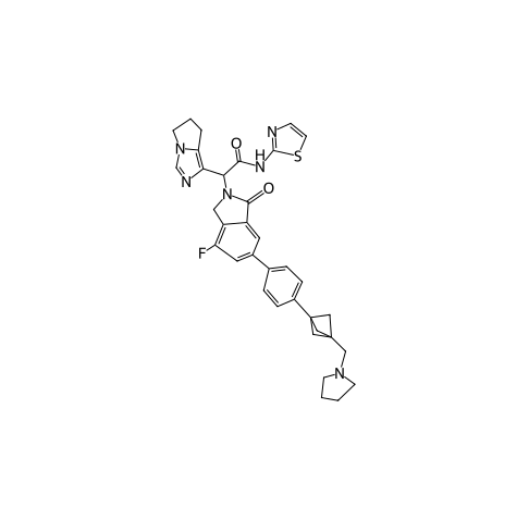 O=C(Nc1nccs1)C(c1ncn2c1CCC2)N1Cc2c(F)cc(-c3ccc(C45CC(CN6CCCC6)(C4)C5)cc3)cc2C1=O